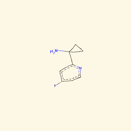 NC1(c2cc(I)ccn2)CC1